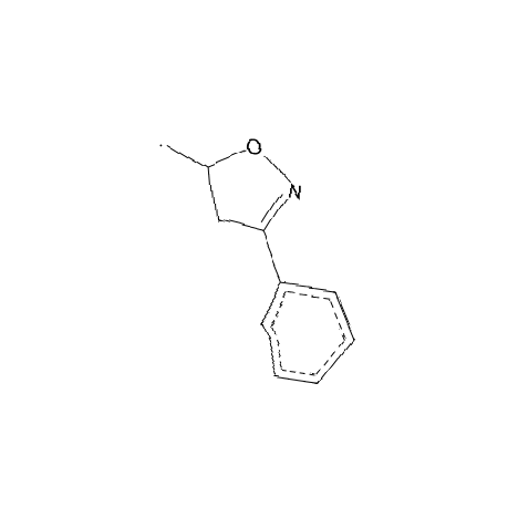 [CH2]C1CC(c2ccccc2)=NO1